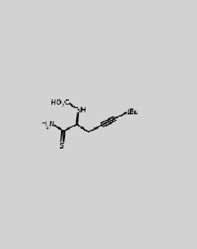 CC(C)(C)C#CCC(NC(=O)O)C(N)=S